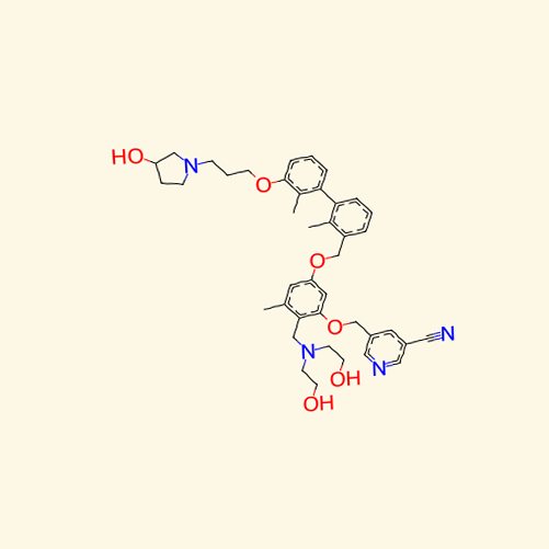 Cc1cc(OCc2cccc(-c3cccc(OCCCN4CCC(O)C4)c3C)c2C)cc(OCc2cncc(C#N)c2)c1CN(CCO)CCO